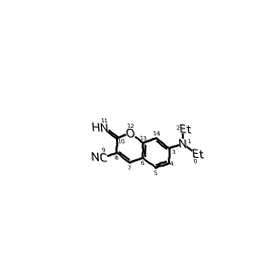 CCN(CC)c1ccc2cc(C#N)c(=N)oc2c1